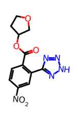 O=C(OC1CCOC1)c1ccc([N+](=O)[O-])cc1-c1nn[nH]n1